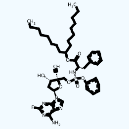 C#C[C@]1(CO[P@@](=O)(N[C@@H](Cc2ccccc2)C(=O)OC(CCCCCCCC)CCCCCCCC)Oc2ccccc2)O[C@@H](n2cnc3c(N)nc(F)nc32)C[C@@H]1O